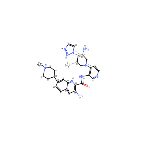 C[C@H]1CN(c2ccncc2NC(=O)c2nc3cc(C4CCN(C)CC4)ccc3cc2N)C[C@@H](N)[C@H]1n1ccnn1